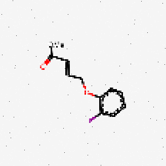 COC(=O)C=CCOc1ccccc1I